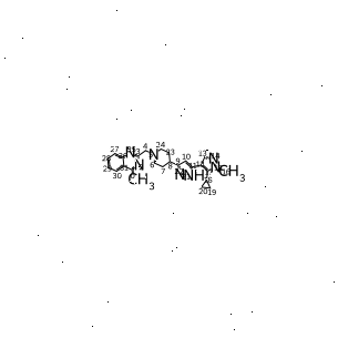 Cc1nc(CN2CCC(c3cc(-c4cnn(C)c4C4CC4)[nH]n3)CC2)nc2ccccc12